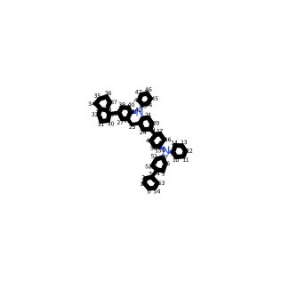 c1ccc(-c2ccc(N(c3ccccc3)c3ccc(-c4ccc5c(c4)Cc4cc(-c6cccc7ccccc67)ccc4N5c4ccccc4)cc3)cc2)cc1